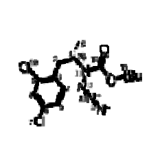 C[C@@H](Cc1ccc(Cl)cc1Cl)N(N=[N+]=[N-])C(=O)OC(C)(C)C